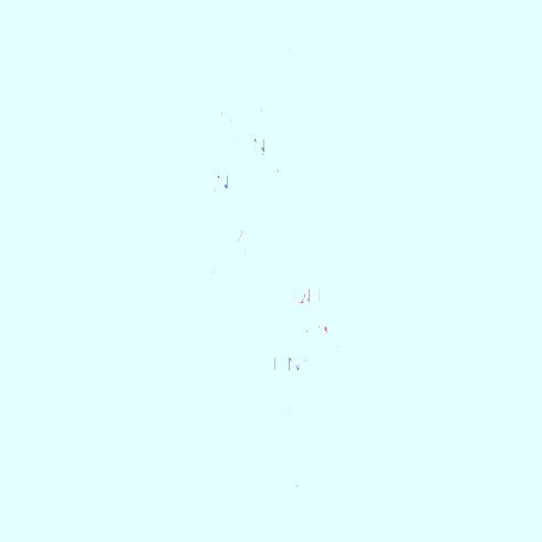 O=C(c1ccccc1)c1ccccc1NC(Cc1ccc(OCCCN(Cc2ccccc2)C(=O)c2ccccn2)cc1)C(=O)O